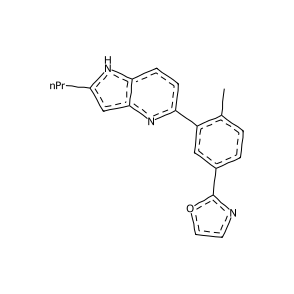 CCCc1cc2nc(-c3cc(-c4ncco4)ccc3C)ccc2[nH]1